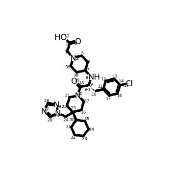 O=C(O)CN1CCC(N[C@H](Cc2ccc(Cl)cc2)C(=O)N2CCC(Cn3cncn3)(C3CCCCC3)CC2)CC1